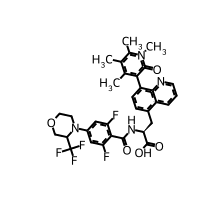 Cc1c(C)c(C)n(C)c(=O)c1-c1ccc(C[C@H](NC(=O)c2c(F)cc(N3CCOCC3C(F)(F)F)cc2F)C(=O)O)c2cccnc12